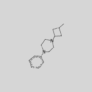 CC1CC(N2CCN(c3ccccc3)CC2)C1